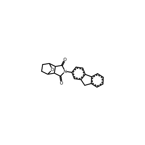 O=C1C2C3CCC(O3)C2C(=O)N1c1ccc2c(c1)Cc1ccccc1-2